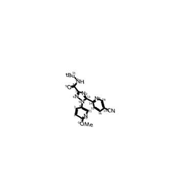 COc1ccc(-n2nc(C(=O)NC(C)(C)C)nc2-c2ccc(C#N)cn2)cn1